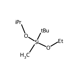 CCO[Si](C)(OC(C)C)C(C)(C)C